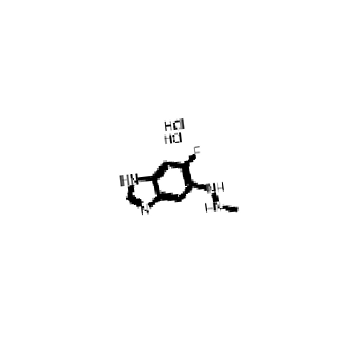 CNNc1cc2nc[nH]c2cc1F.Cl.Cl